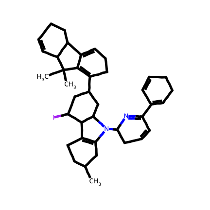 CC1CCC2=C(C1)N(C1CC=CC(C3=CCCC=C3)=N1)C1CC(C3=C4C(=CCC3)C3CCC=CC3C4(C)C)CC(I)C21